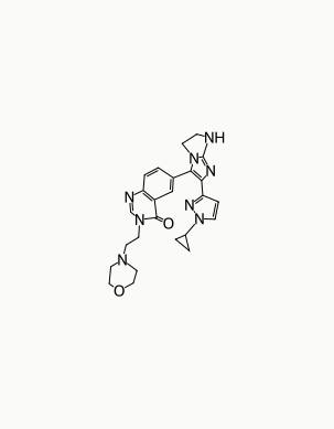 O=c1c2cc(-c3c(-c4ccn(C5CC5)n4)nc4n3CCN4)ccc2ncn1CCN1CCOCC1